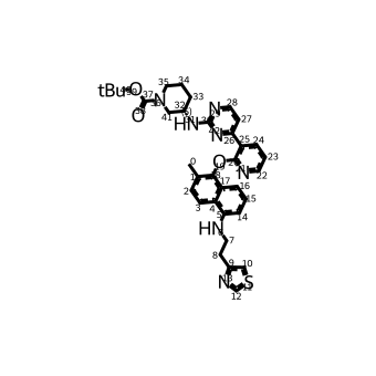 Cc1ccc2c(NCCc3cscn3)cccc2c1Oc1ncccc1-c1ccnc(N[C@H]2CCCN(C(=O)OC(C)(C)C)C2)n1